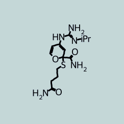 CC(C)N=C(N)NC1=CC(SCCCC(N)=O)(C(N)=O)OC=C1